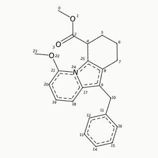 COC(=O)C1CCCc2c(Cc3ccccc3)c3cccc(OC)n3c21